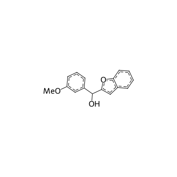 COc1cccc(C(O)c2cc3ccccc3o2)c1